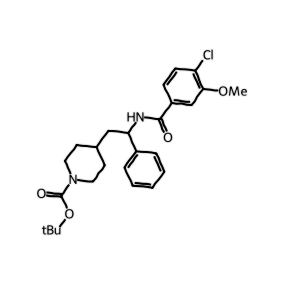 COc1cc(C(=O)NC(CC2CCN(C(=O)OC(C)(C)C)CC2)c2ccccc2)ccc1Cl